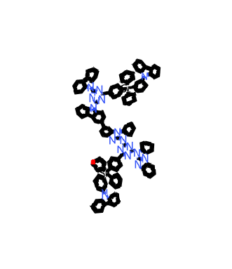 c1ccc([Si](c2ccccc2)(c2ccc(-c3nc(-n4c5ccccc5c5ccccc54)nc(-n4c5ccccc5c5cc(-c6ccc7nc8n(-c9nc(-c%10ccc([Si](c%11ccccc%11)(c%11ccccc%11)c%11cccc(-n%12c%13ccccc%13c%13ccccc%13%12)c%11)cc%10)nc(-n%10c%11ccccc%11n%11c%12ccccc%12nc%10%11)n9)c9ccccc9n8c7c6)ccc54)n3)cc2)c2cccc(-n3c4ccccc4c4ccccc43)c2)cc1